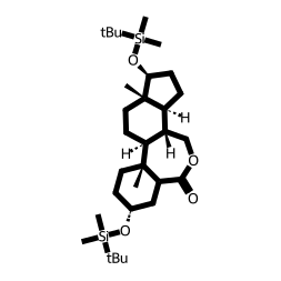 CC(C)(C)[Si](C)(C)O[C@@H]1CC[C@@]2(C)C(C1)C(=O)OC[C@H]1[C@@H]3CC[C@H](O[Si](C)(C)C(C)(C)C)[C@@]3(C)CC[C@@H]12